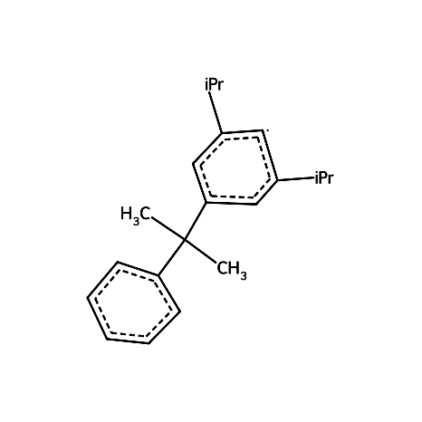 CC(C)c1[c]c(C(C)C)cc(C(C)(C)c2ccccc2)c1